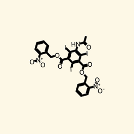 CC(=O)Nc1c(I)c(C(=O)OCc2ccccc2[N+](=O)[O-])c(I)c(C(=O)OCc2ccccc2[N+](=O)[O-])c1I